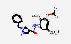 CCC(CC)O[C@@H]1C=C(C(=O)O)C[C@H](NC(=O)c2cnn(Cc3ccccc3)c2)[C@H]1NC(C)=O